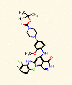 COc1cc(N2CCN(C(=O)OC(C)(C)C)CC2)ccc1Nc1cc(Nc2c(Cl)cccc2Cl)nc2cn[nH]c(=O)c12